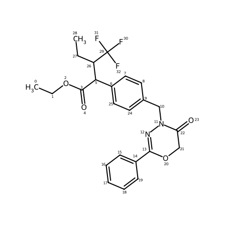 CCOC(=O)C(c1ccc(CN2N=C(c3ccccc3)OCC2=O)cc1)C(CC)C(F)(F)F